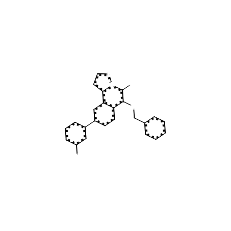 CCOC(=O)c1c(OCc2ccccc2)c2ccc(-c3cccc(Cl)c3)cc2c2ccnn12